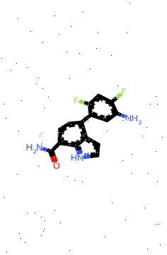 NC(=O)c1ccc(-c2cc(N)c(F)cc2F)c2cc[nH]c12